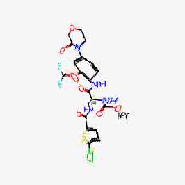 CC(C)OC(=O)N[C@@H](CNC(=O)c1ccc(Cl)s1)C(=O)Nc1ccc(N2CCOCC2=O)cc1OC(F)F